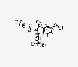 CCNCC.CCOc1ccc2c(c1)C(=O)N(CCO[N+](=O)[O-])C2=O